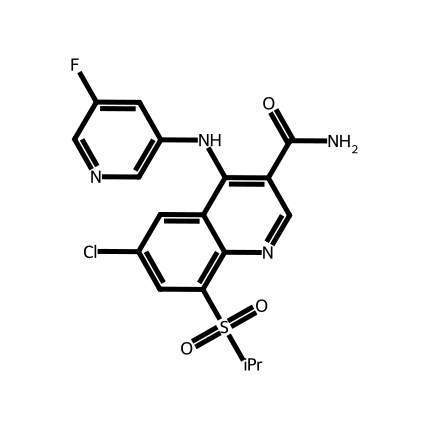 CC(C)S(=O)(=O)c1cc(Cl)cc2c(Nc3cncc(F)c3)c(C(N)=O)cnc12